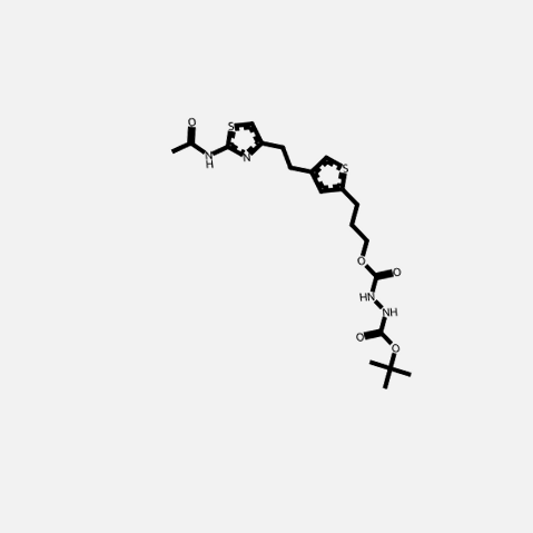 CC(=O)Nc1nc(CCc2csc(CCCOC(=O)NNC(=O)OC(C)(C)C)c2)cs1